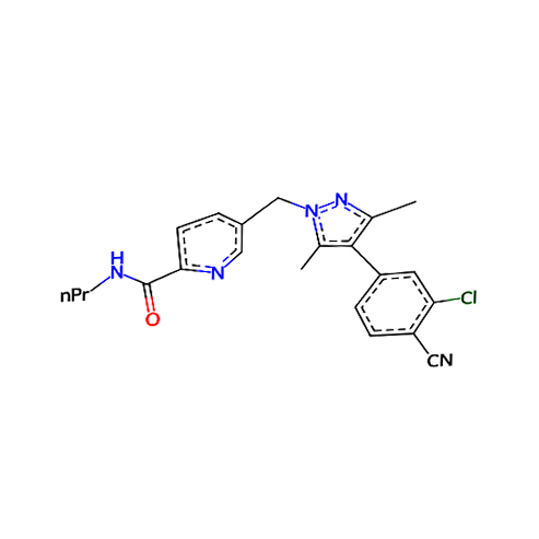 CCCNC(=O)c1ccc(Cn2nc(C)c(-c3ccc(C#N)c(Cl)c3)c2C)cn1